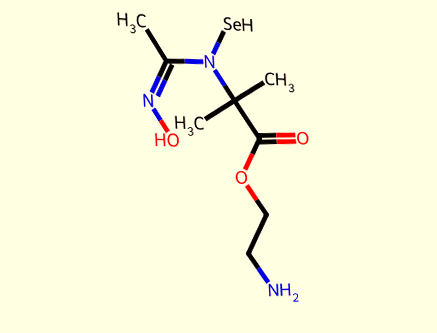 CC(=NO)N([SeH])C(C)(C)C(=O)OCCN